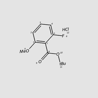 COc1cccc(F)c1C(=O)OC(C)(C)C.Cl